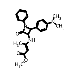 COC(=O)/C=C(\C)NC1C(=O)N(c2ccccc2)C1c1ccc(N(C)C)cc1